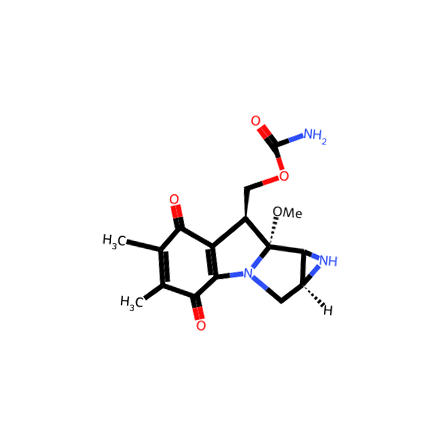 CO[C@]12C3N[C@H]3CN1C1=C(C(=O)C(C)=C(C)C1=O)[C@H]2COC(N)=O